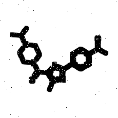 CC(=O)c1ccc(-c2nc(C)c(C(=O)N3CCN(C(C)C)CC3)s2)cc1